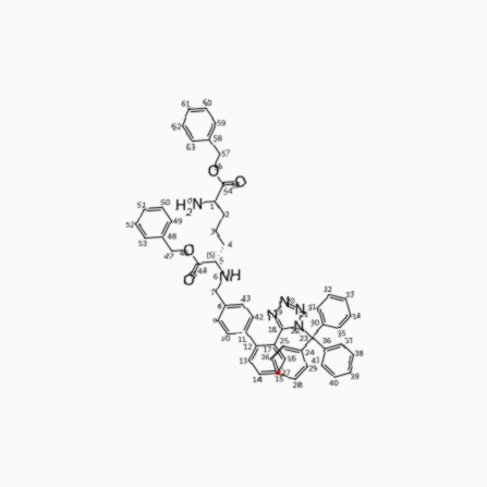 NC(CCC[C@H](NCc1ccc(-c2ccccc2-c2nnnn2C(c2ccccc2)(c2ccccc2)c2ccccc2)cc1)C(=O)OCc1ccccc1)C(=O)OCc1ccccc1